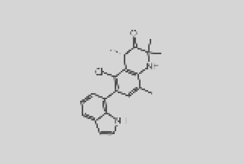 Cc1cc(-c2cccc3cc[nH]c23)c(Cl)c2c1NC(C)(C)C(=O)[C@H]2C